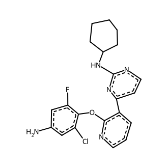 Nc1cc(F)c(Oc2ncccc2-c2ccnc(NC3CCCCC3)n2)c(Cl)c1